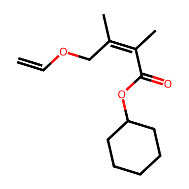 C=COCC(C)=C(C)C(=O)OC1CCCCC1